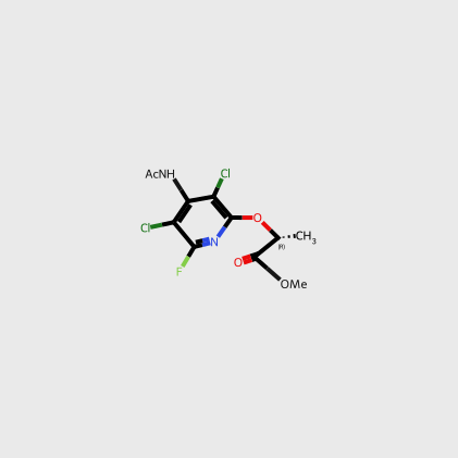 COC(=O)[C@@H](C)Oc1nc(F)c(Cl)c(NC(C)=O)c1Cl